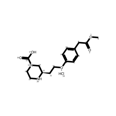 COC(=O)Cc1ccc(OCC[C@@H]2CN(C(=O)O)CCN2)cc1.Cl